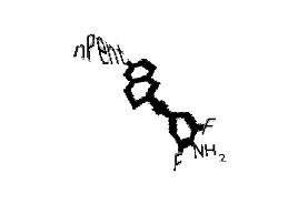 CCCCCc1ccc2c(c1)CCC(C#Cc1cc(F)c(N)c(F)c1)=C2